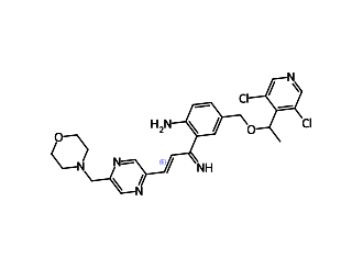 CC(OCc1ccc(N)c(C(=N)/C=C/c2cnc(CN3CCOCC3)cn2)c1)c1c(Cl)cncc1Cl